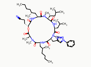 CCCC[C@@H](C)C[C@@H]1NC(=O)[C@@H](CCC#N)OC(=O)[C@H](C)N(C)C(=O)[C@H](C[C@@H](C)CCCC)NC(=O)[C@H](Cc2cn(-c3ccccc3)nn2)N(C)C(=O)[C@H](CC(C)C)NC(=O)[C@H](CCC(C)C)N(C)C1=O